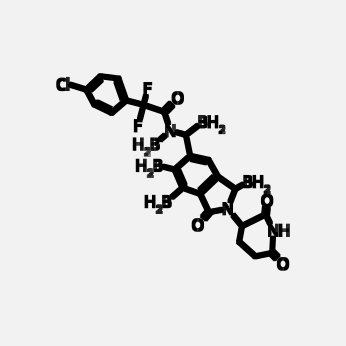 Bc1c(C(B)N(B)C(=O)C(F)(F)c2ccc(Cl)cc2)cc2c(c1B)C(=O)N(C1CCC(=O)NC1=O)C2B